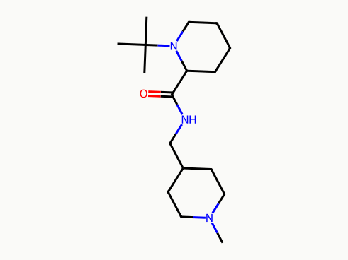 CN1CCC(CNC(=O)C2CCCCN2C(C)(C)C)CC1